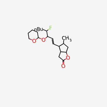 CCCCC(F)C(/C=C/C1C(C)CC2OC(=O)CC21)OC1CCCCO1